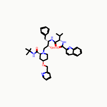 CC(C)[C@H](NC(=O)c1ccc2ccccc2n1)C(=O)N[C@@H](Cc1ccccc1)[C@H](O)CN1CC[C@@H](OCc2ccccn2)C[C@H]1C(=O)NC(C)(C)C